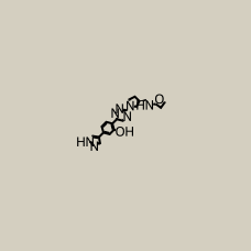 Oc1cc(-c2cn[nH]c2)ccc1-c1cnc(N2CC[C@@H](CNC3CCO3)C2)nn1